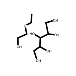 CCOCCO.OCC(O)C(O)C(O)CO